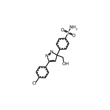 NS(=O)(=O)c1ccc(C2(CO)C=C(c3ccc(Cl)cc3)N=N2)cc1